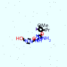 COc1cc(C(C)C)c(Oc2cnc(NC(=O)CN3CCN(CCO)CC3)nc2N)cc1I